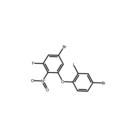 O=[N+]([O-])c1c(F)cc(Br)cc1Oc1ccc(Br)cc1I